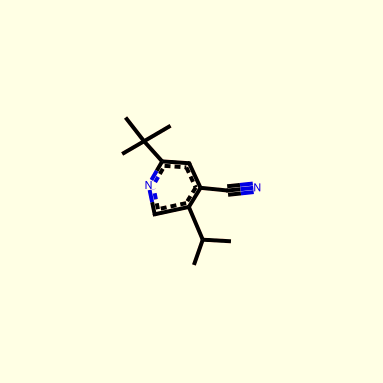 CC(C)c1cnc(C(C)(C)C)cc1C#N